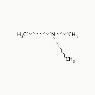 CCCCCCCCCCN(CCCCCC)CCCCCCCCCC